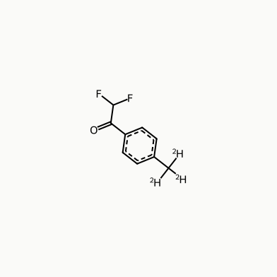 [2H]C([2H])([2H])c1ccc(C(=O)C(F)F)cc1